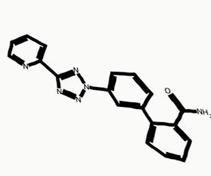 NC(=O)c1ccccc1-c1cccc(-n2nnc(-c3ccccn3)n2)c1